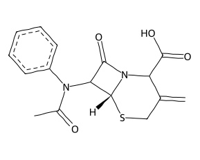 C=C1CS[C@@H]2C(N(C(C)=O)c3ccccc3)C(=O)N2C1C(=O)O